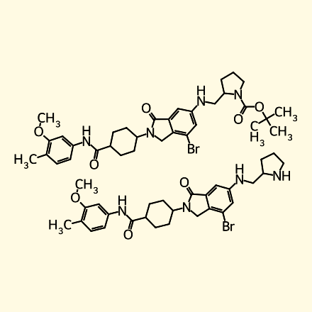 COc1cc(NC(=O)C2CCC(N3Cc4c(Br)cc(NCC5CCCN5)cc4C3=O)CC2)ccc1C.COc1cc(NC(=O)C2CCC(N3Cc4c(Br)cc(NCC5CCCN5C(=O)OC(C)(C)C)cc4C3=O)CC2)ccc1C